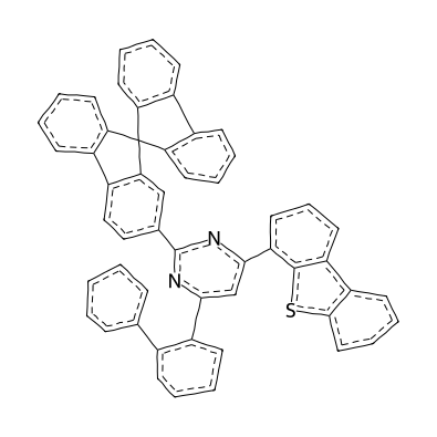 c1ccc(-c2ccccc2-c2cc(-c3cccc4c3sc3ccccc34)nc(-c3ccc4c(c3)C3(c5ccccc5-c5ccccc53)c3ccccc3-4)n2)cc1